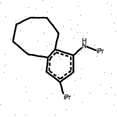 CC(C)Nc1cc(C(C)C)cc2c1CCCCCC2